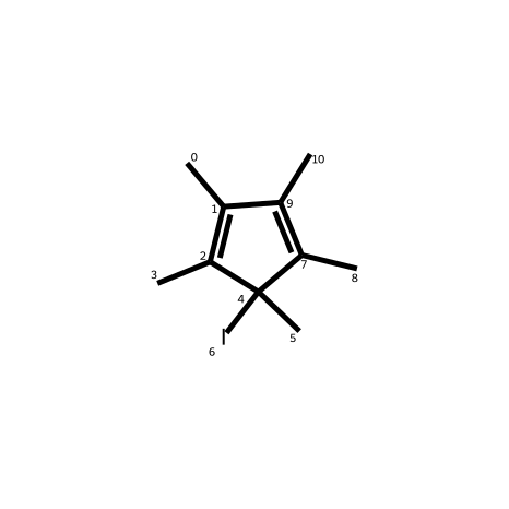 CC1=C(C)C(C)(I)C(C)=C1C